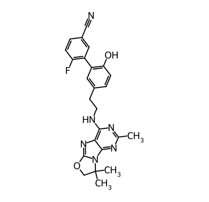 Cc1nc(NCCc2ccc(O)c(-c3cc(C#N)ccc3F)c2)c2nc3n(c2n1)C(C)(C)CO3